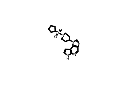 O=S(=O)(C1CCCC1)N1CCC(n2cnc3cnc4[nH]ccc4c32)CC1